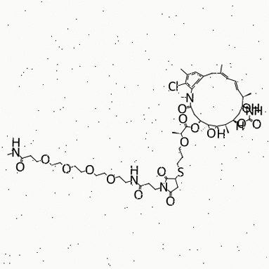 CNC(=O)CCOCCOCCOCCOCCNC(=O)CCN1C(=O)CC(SCCCO[C@@H](C)C(=O)O[C@H]2CC(=O)N(C)c3cc(cc(C)c3Cl)C/C(C)=C/C=C/[C@@H](C)[C@@]3(O)C[C@H](OC(=O)N3)[C@@H](C)[C@@H]3O[C@@]23C)C1=O